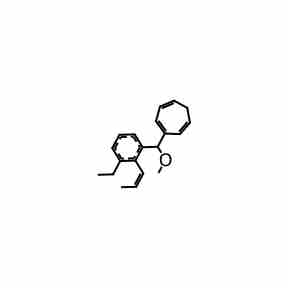 C/C=C\c1c(CC)cccc1C(OC)C1=CC=CCC=C1